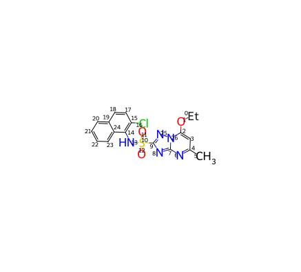 CCOc1cc(C)nc2nc(S(=O)(=O)Nc3c(Cl)ccc4ccccc34)nn12